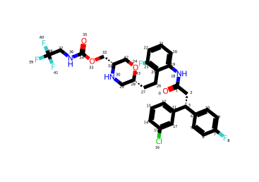 O=C(C[C@H](c1ccc(F)cc1)c1cccc(Cl)c1)Nc1cccc(F)c1CC[C@@H]1CN[C@H](COC(=O)NCC(F)(F)F)CO1